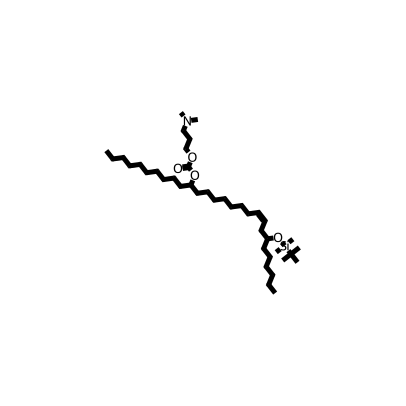 CCCCCCCCCCC(CCCCCCC/C=C\CC(CCCCCC)O[Si](C)(C)C(C)(C)C)OC(=O)OCCCN(C)C